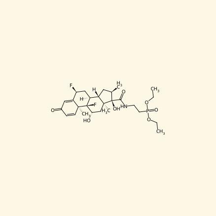 CCOP(=O)(CCNC(=O)[C@@]1(O)[C@H](C)C[C@H]2[C@@H]3C[C@H](F)C4=CC(=O)C=C[C@]4(C)[C@@]3(F)[C@@H](O)C[C@@]21C)OCC